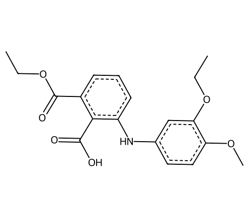 CCOC(=O)c1cccc(Nc2ccc(OC)c(OCC)c2)c1C(=O)O